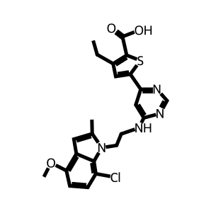 CCc1cc(-c2cc(NCCn3c(C)cc4c(OC)ccc(Cl)c43)ncn2)sc1C(=O)O